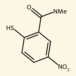 CNC(=O)c1cc([N+](=O)[O-])ccc1S